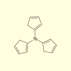 C1=CC[C]([Tb]([C]2=CC=CC2)[C]2=CC=CC2)=C1